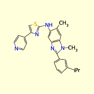 Cc1cc2c(cc1Nc1nc(-c3ccncc3)cs1)nc(-c1cccc(C(C)C)c1)n2C